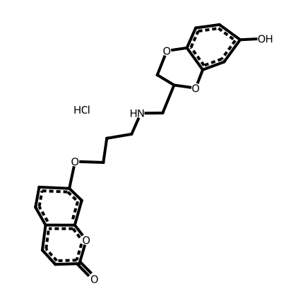 Cl.O=c1ccc2ccc(OCCCNCC3COc4ccc(O)cc4O3)cc2o1